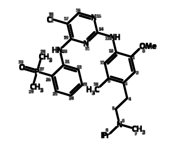 COc1cc(CCN(C)C(C)C)c(C)cc1Nc1ncc(Cl)c(Nc2ccccc2P(C)(C)=O)n1